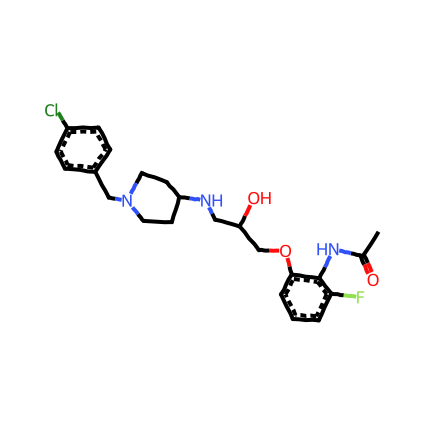 CC(=O)Nc1c(F)cccc1OCC(O)CNC1CCN(Cc2ccc(Cl)cc2)CC1